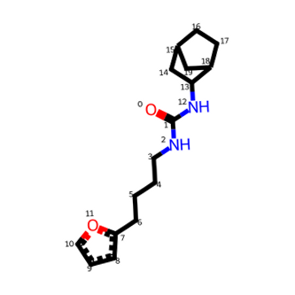 O=C(NCCCCc1ccco1)NC1CC2CCC1C2